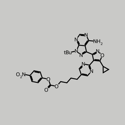 CC(C)(C)n1nc(-c2noc(C3CC3)c2-c2ncc(CCCCOC(=O)Oc3ccc([N+](=O)[O-])cc3)cn2)c2c(N)ncnc21